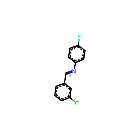 Fc1ccc(/N=C/c2cccc(Cl)c2)cc1